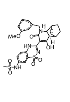 COc1cccc(CN2C(=O)C(C3=NS(=O)(=O)c4cc(NS(C)(=O)=O)ccc4N3)=C(O)[C@@H]3C4CCC(CC4)[C@@H]32)c1